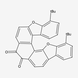 CC(C)(C)c1cccc2c1oc1c3c(ccc12)C(=O)C(=O)c1ccc2oc4c(C(C)(C)C)cccc4c2c1-3